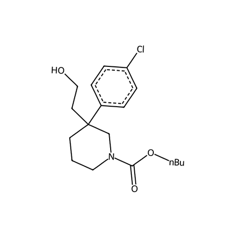 CCCCOC(=O)N1CCCC(CCO)(c2ccc(Cl)cc2)C1